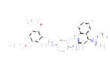 COc1ccc(OC)c(CNC2CCC(Nc3cc(N(C)C)c4ccccc4n3)CC2)c1